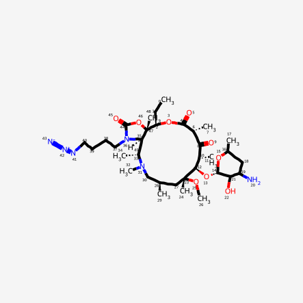 CC[C@H]1OC(=O)[C@H](C)C(=O)[C@H](C)[C@@H](O[C@@H]2OC(C)CC(N)C2O)[C@](C)(OC)C[C@@H](C)CN(C)[C@H](C)[C@H]2N(CCCCN=[N+]=[N-])C(=O)O[C@]12C